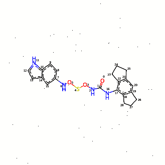 O=C(NOSONc1ccc2[nH]ccc2c1)Nc1c2c(cc3c1CCC3)CCC2